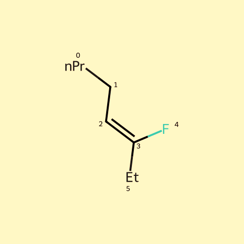 CCCCC=C(F)CC